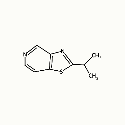 CC(C)c1nc2cnccc2s1